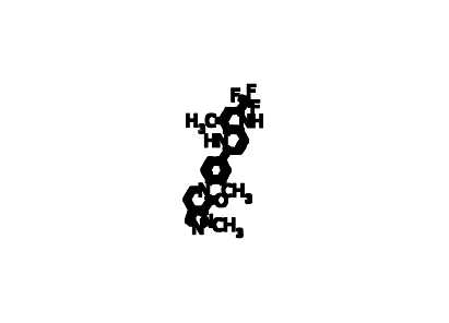 CC1=CC(C(F)(F)F)NC2=C1NC(c1ccc(N3CCc4cnn(C)c4C3=O)c(C)c1)C=C2